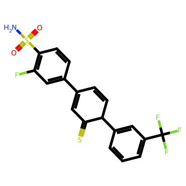 NS(=O)(=O)c1ccc(C2=CC(=S)C(c3cccc(C(F)(F)F)c3)C=C2)cc1F